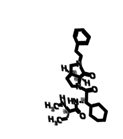 CC[C@H](NC)C(=O)N[C@H](C(=O)N1CC[C@H]2CN(CCc3ccccc3)C(=O)[C@H]21)C1CCCCC1